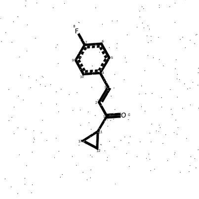 O=C(/C=C/c1ccc(F)cc1)C1CC1